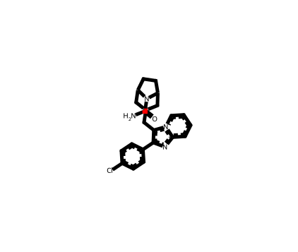 NC(=O)N1C2CCC1CN(Cc1c(-c3ccc(Cl)cc3)nc3ccccn13)C2